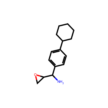 NC(c1ccc(C2CCCCC2)cc1)C1CO1